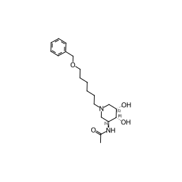 CC(=O)N[C@H]1CN(CCCCCCOCc2ccccc2)C[C@H](O)[C@@H]1O